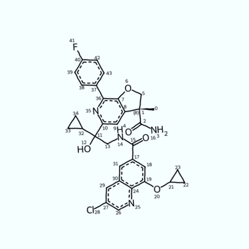 C[C@]1(C(N)=O)COc2c1cc(C(O)(CNC(=O)c1cc(OC3CC3)c3ncc(Cl)cc3c1)C1CC1)nc2-c1ccc(F)cc1